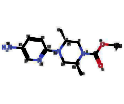 C[C@@H]1CN(C(=O)OC(C)(C)C)[C@@H](C)CN1c1ccc(N)cn1